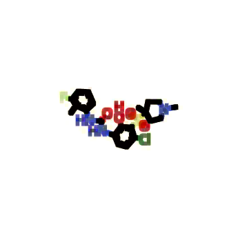 Cc1c(F)cccc1NC(=O)Nc1ccc(Cl)c(S(=O)(=O)C2(C)CCN(C)CC2)c1O